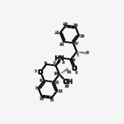 C[C@H](C(=O)N[C@@H]1COc2ccccc2[C@]1(C)O)c1ccccc1